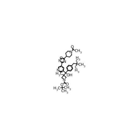 CC(=O)N1CCC(c2nc(-c3cncc(C(O)(c4ccc(CC(C)(C)C)cc4)C4(C)CN(C(=O)OC(C)(C)C)C4)c3)no2)CC1